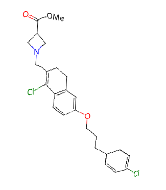 COC(=O)C1CN(CC2=C(Cl)c3ccc(OCCCC4C=CC(Cl)=CC4)cc3CC2)C1